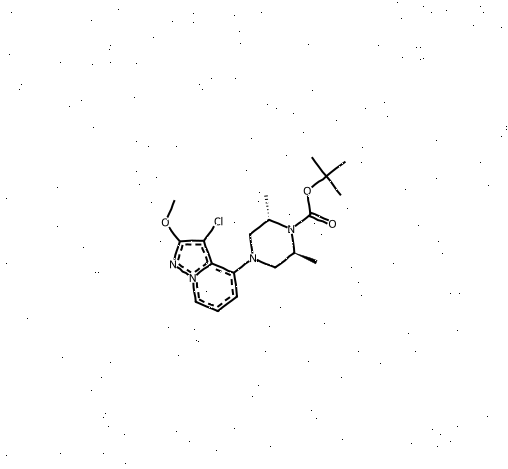 COc1nn2cccc(N3C[C@H](C)N(C(=O)OC(C)(C)C)[C@@H](C)C3)c2c1Cl